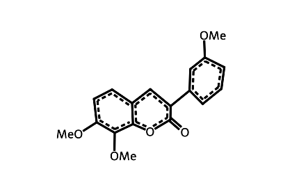 COc1cccc(-c2cc3ccc(OC)c(OC)c3oc2=O)c1